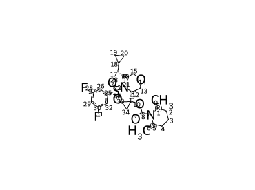 C[C@@H]1CCC[C@H](C)N1C(=O)OC1([C@H]2COC[C@@H](CC3CC3)N2S(=O)(=O)c2cc(F)cc(F)c2)CC1